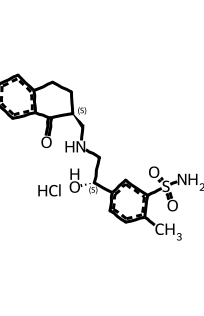 Cc1ccc([C@H](O)CNC[C@@H]2CCc3ccccc3C2=O)cc1S(N)(=O)=O.Cl